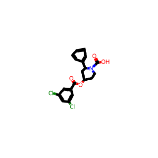 O=C(OC1CCN(C(=O)O)C(c2ccccc2)C1)c1cc(Cl)cc(Cl)c1